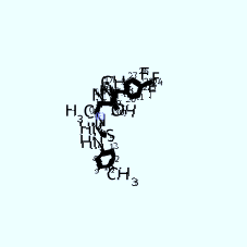 C/C(=N\NC(=S)Nc1ccc(C)cc1)c1nn(C)c(-c2ccc(C(F)(F)F)cc2)c1O